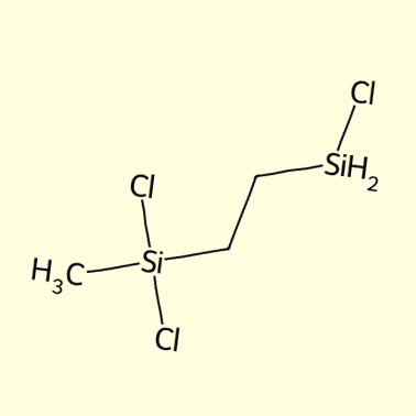 C[Si](Cl)(Cl)CC[SiH2]Cl